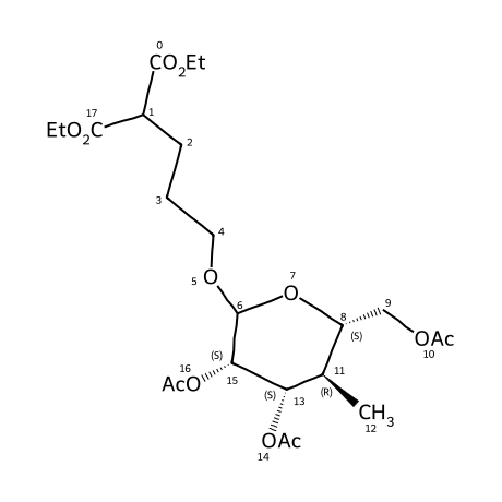 CCOC(=O)C(CCCOC1O[C@H](COC(C)=O)[C@@H](C)[C@H](OC(C)=O)[C@@H]1OC(C)=O)C(=O)OCC